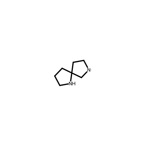 C1CNC2(C1)CC[N]C2